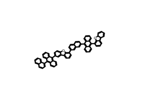 C1=CC2Oc3c(-c4c5ccccc5c(-c5ccc6ccc(-c7cccc8c7oc7ccc(-c9c%10ccccc%10c(-c%10cccc%11ccccc%10%11)c%10ccccc9%10)cc78)cc6c5)c5ccccc45)cccc3C2C=C1